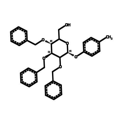 Cc1ccc(O[C@H]2OC(CO)[C@@H](OCc3ccccc3)[C@H](OCc3ccccc3)C2OCc2ccccc2)cc1